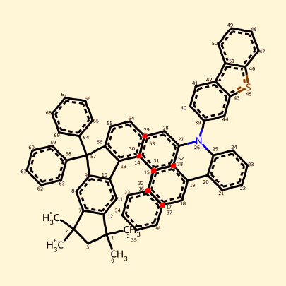 CC1(C)CC(C)(C)c2cc3c(cc21)-c1c(-c2cccc(-c4ccccc4N(c4cccc(-c5ccccc5)c4)c4ccc5c(c4)sc4ccccc45)c2)cccc1C3(c1ccccc1)c1ccccc1